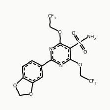 NS(=O)(=O)c1c(OCC(F)(F)F)nc(-c2ccc3c(c2)OCO3)nc1OCC(F)(F)F